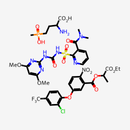 CCOC(=O)C(C)OC(=O)c1cc(Oc2ccc(C(F)(F)F)cc2Cl)ccc1[N+](=O)[O-].COc1cc(OC)nc(NC(=O)NS(=O)(=O)c2ncccc2C(=O)N(C)C)n1.CP(=O)(O)CCC(N)C(=O)O